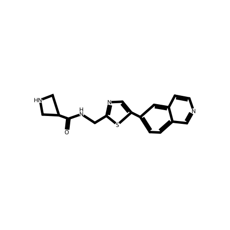 O=C(NCc1ncc(-c2ccc3cnccc3c2)s1)C1CNC1